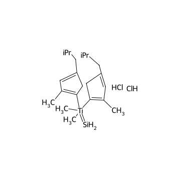 CC1=[C]([Ti]([CH3])([CH3])(=[SiH2])[C]2=C(C)C=C(CC(C)C)C2)CC(CC(C)C)=C1.Cl.Cl